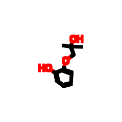 CC(C)(O)COc1ccccc1O